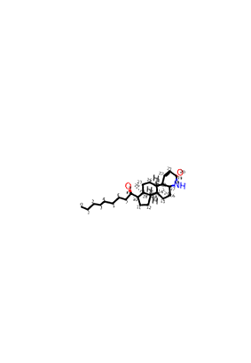 CCCCCCCCC(=O)C1CC[C@H]2[C@@H]3CCC4NC(=O)C=C[C@]4(C)[C@@H]3CC[C@]12C